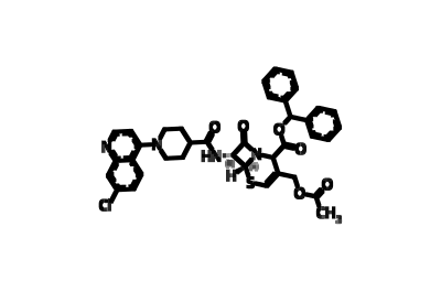 CC(=O)OCC1=CS[C@@H]2[C@H](NC(=O)C3CCN(c4ccnc5cc(Cl)ccc45)CC3)C(=O)N2C1C(=O)OC(c1ccccc1)c1ccccc1